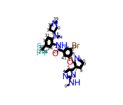 CNc1nccc(-c2cccnc2Oc2cc(Br)cc(C(=O)Nc3cc(C(F)(F)F)ccc3N(C)[C@@H]3CCN(C)C3)c2)n1